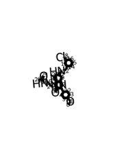 COc1ccc(-c2nc3cc(NCc4cccc(Cl)c4)cnc3n(CCNC(C)=O)c2=O)cc1